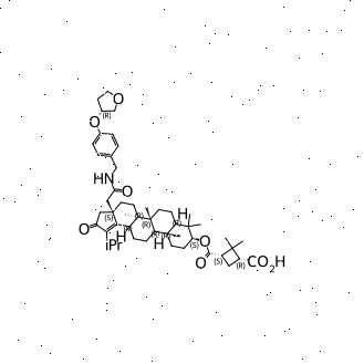 CC(C)C1=C2[C@H]3CC[C@@H]4[C@@]5(C)CC[C@H](OC(=O)[C@H]6C[C@@H](C(=O)O)C6(C)C)C(C)(C)[C@@H]5CC[C@@]4(C)[C@]3(C)CC[C@@]2(CC(=O)NCc2ccc(O[C@@H]3CCOC3)cc2)CC1=O